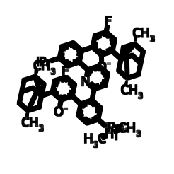 CC(C)c1ccc(-c2cc(F)cc(C34CC5C[C@@](C)(C3)C[C@](C)(C5)C4)c2[O-])c(-c2cccc(-c3cc(C(C)C)ccc3-c3cc(F)cc(C45CC6C[C@@](C)(C4)C[C@](C)(C6)C5)c3[O-])n2)c1.[CH3][Hf+2][CH3]